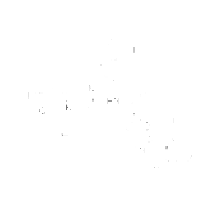 COc1cccc(F)c1-c1nccc(C(=O)Nc2cc(F)c(Cl)cc2N2CCN(C(=O)O)C(CO)C2)n1